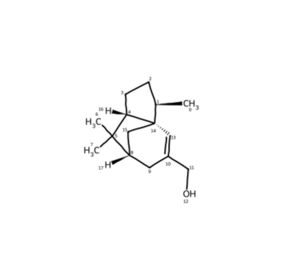 C[C@@H]1CC[C@H]2C(C)(C)[C@H]3CC(CO)=C[C@@]12C3